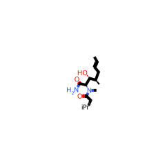 C/C=C/C[C@@H](C)[C@@H](O)[C@@H](C(N)=O)N(C)C(=O)CC(C)C